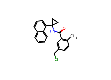 Cc1ccc(CCl)cc1C(=O)NC1(c2cccc3ccccc23)CC1